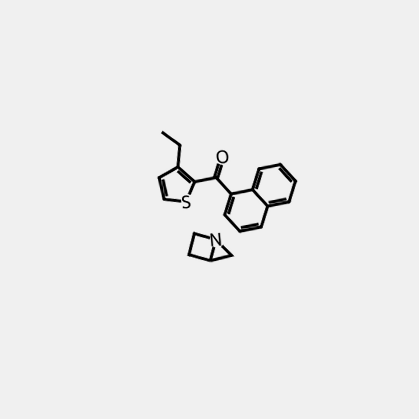 C1CN2CC12.CCc1ccsc1C(=O)c1cccc2ccccc12